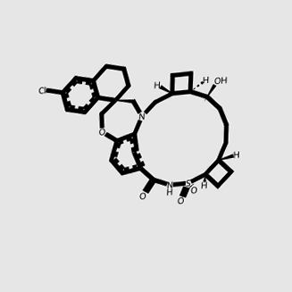 O=C1NS(=O)(=O)[C@@H]2CC[C@H]2CCC[C@H](O)[C@@H]2CC[C@H]2CN2C[C@@]3(CCCc4cc(Cl)ccc43)COc3ccc1cc32